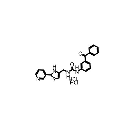 Cl.Cl.O=C(NCC1=CSC(c2cccnc2)N1)Nc1cccc(C(=O)c2ccccc2)c1